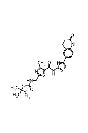 Cc1nc(CNC(=O)OC(C)(C)C)sc1C(=O)Nc1nc(-c2ccc3c(c2)CCC(=O)N3)cs1